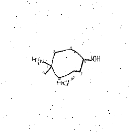 CC1(N)CCC(O)CC1.Cl